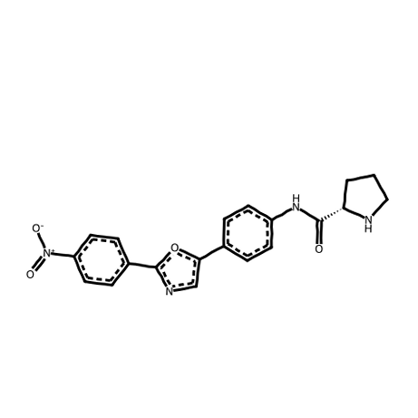 O=C(Nc1ccc(-c2cnc(-c3ccc([N+](=O)[O-])cc3)o2)cc1)[C@@H]1CCCN1